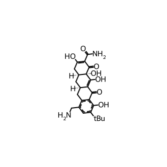 CC(C)(C)c1cc(CN)c2c(c1O)C(=O)C1=C(O)[C@]3(O)C(=O)C(C(N)=O)=C(O)C[C@@H]3C[C@@H]1C2